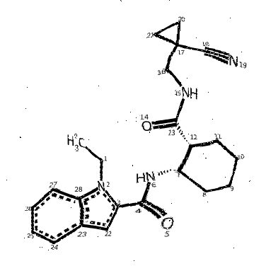 CCn1c(C(=O)N[C@H]2CCCC[C@H]2C(=O)NCC2(C#N)CC2)cc2ccccc21